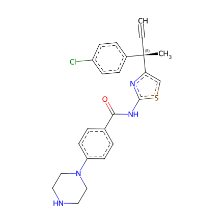 C#C[C@@](C)(c1ccc(Cl)cc1)c1csc(NC(=O)c2ccc(N3CCNCC3)cc2)n1